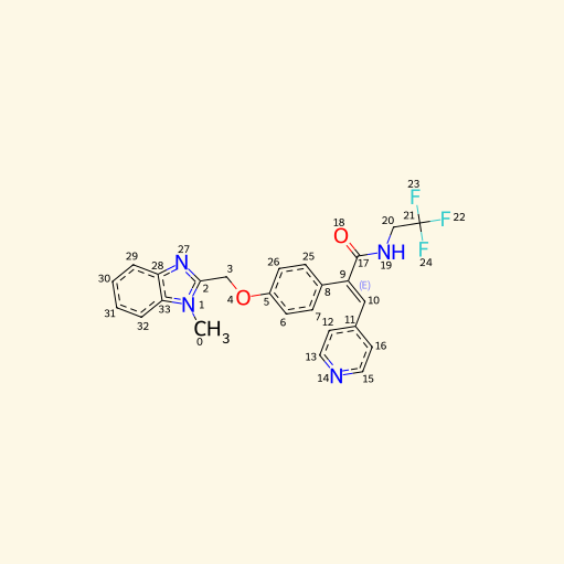 Cn1c(COc2ccc(/C(=C\c3ccncc3)C(=O)NCC(F)(F)F)cc2)nc2ccccc21